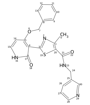 Cc1nc(-c2c(OCc3ccccc3)cc[nH]c2=O)sc1C(=O)NCc1cccnc1